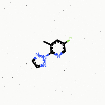 Cc1cc(F)cnc1-n1nccn1